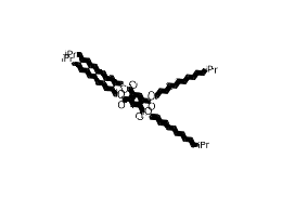 CC(C)CCCCCCCCCCCOC(=O)c1cc(C(=O)OCCCCCCCCCCCC(C)C)c(C(=O)OCCCCCCCCCCCC(C)C)cc1C(=O)OCCCCCCCCCCCC(C)C